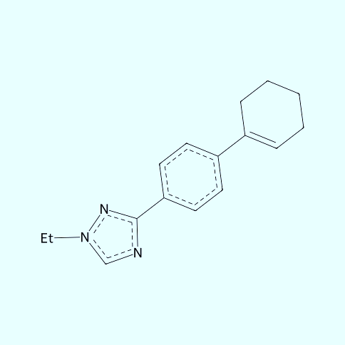 CCn1cnc(-c2ccc(C3=CCCCC3)cc2)n1